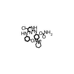 COc1cccc(Nc2nc(Nc3ccc(N4CCCCC4)cc3OC(N)=O)ncc2Cl)c1